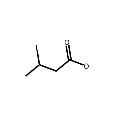 CC(I)CC([O])=O